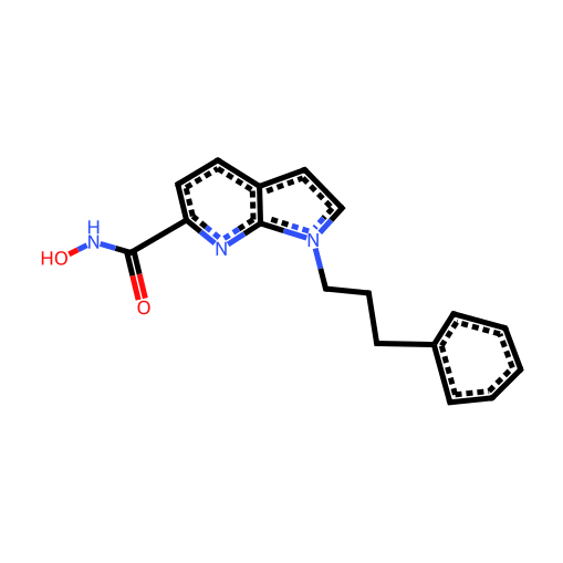 O=C(NO)c1ccc2ccn(CCCc3ccccc3)c2n1